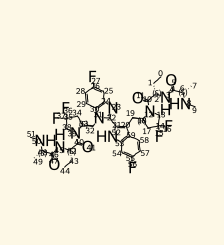 CC[C@H](NC(=O)[C@H](C)NC)C(=O)N1CC(F)(F)C[C@H]1Cc1c(-c2nc3cc(F)ccc3n2C[C@@H]2CC(F)(F)CN2C(=O)[C@H](CC)NC(=O)[C@H](C)NC)[nH]c2cc(F)ccc12